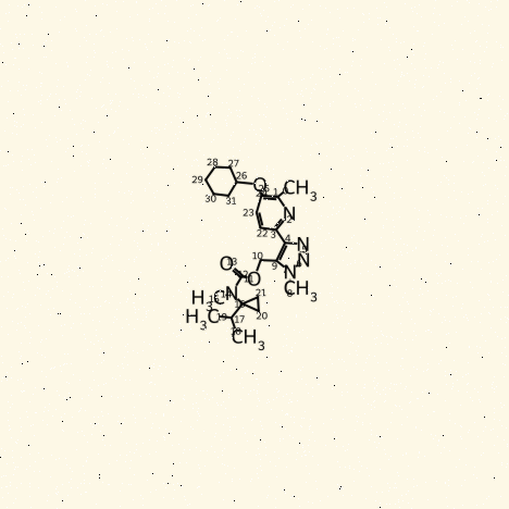 Cc1nc(-c2nnn(C)c2COC(=O)N(C)C2(C(C)C)CC2)ccc1OC1CCCCC1